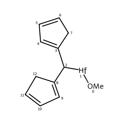 C[O][Hf][CH](C1=CC=CC1)C1=CC=CC1